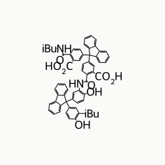 CCC(C)NC(=O)c1ccc(C2(c3ccc(C(=O)Nc4cc(C5(c6ccc(O)c(C(C)CC)c6)c6ccccc6-c6ccccc65)ccc4O)c(C(=O)O)c3)c3ccccc3-c3ccccc32)cc1C(=O)O